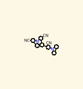 N#Cc1ccc(-n2c3ccccc3c3cc(C#N)ccc32)c(-c2cccc(-c3ccc(-n4c5ccccc5c5ccccc54)cc3C#N)c2)c1